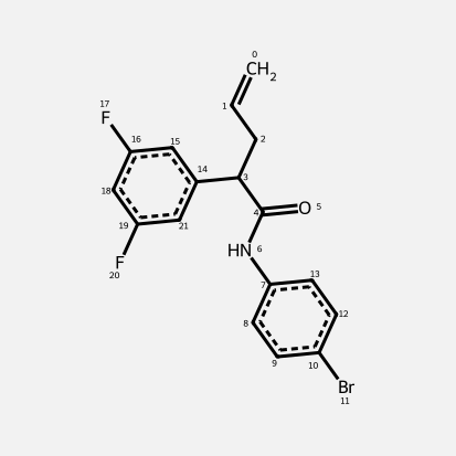 C=CCC(C(=O)Nc1ccc(Br)cc1)c1cc(F)cc(F)c1